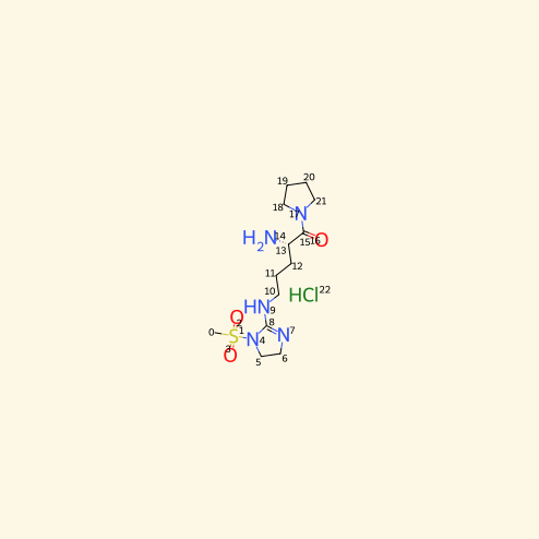 CS(=O)(=O)N1CCN=C1NCCC[C@H](N)C(=O)N1CCCC1.Cl